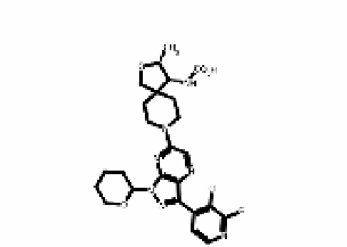 C[C@@H]1OCC2(CCN(c3cnc4c(-c5ccnc(F)c5Cl)nn(C5CCCCO5)c4n3)CC2)[C@@H]1NC(=O)O